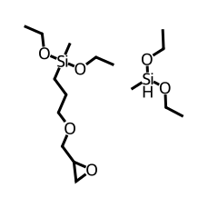 CCO[SiH](C)OCC.CCO[Si](C)(CCCOCC1CO1)OCC